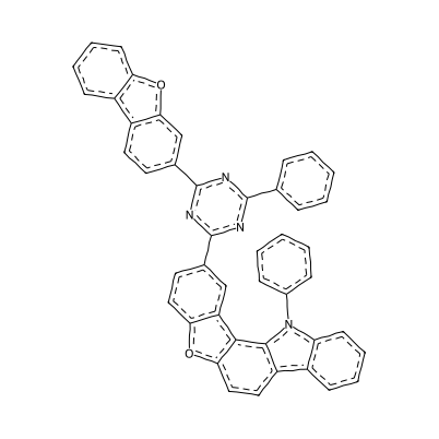 c1ccc(-c2nc(-c3ccc4c(c3)oc3ccccc34)nc(-c3ccc4oc5ccc6c7ccccc7n(-c7ccccc7)c6c5c4c3)n2)cc1